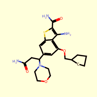 NC(=O)CC(c1cc(OCC2CCCC2)c2c(N)c(C(N)=O)sc2c1)N1CCOCC1